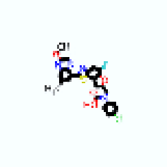 COc1cnc2c(-c3nc4cc(F)c5c(c4s3)CC(CN(C(=O)O)c3ccc(Cl)cc3)O5)cc(C)cc2n1